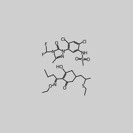 CCCC(=NOCC)C1=C(O)CC(CC(C)SCC)CC1=O.Cc1nn(-c2cc(NS(C)(=O)=O)c(Cl)cc2Cl)c(=O)n1C(F)F